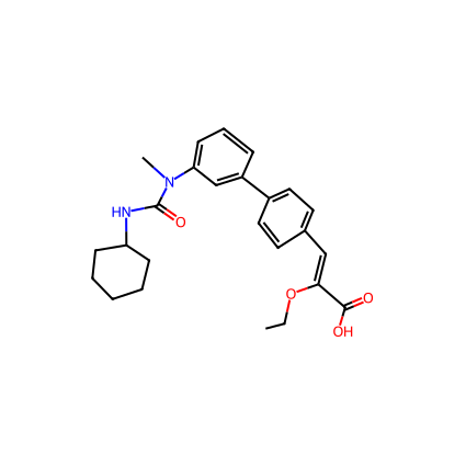 CCOC(=Cc1ccc(-c2cccc(N(C)C(=O)NC3CCCCC3)c2)cc1)C(=O)O